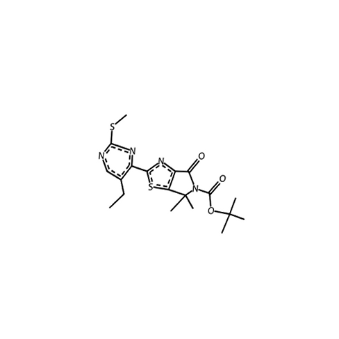 CCc1cnc(SC)nc1-c1nc2c(s1)C(C)(C)N(C(=O)OC(C)(C)C)C2=O